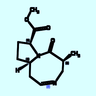 COC(=O)[C@@H]1CC[C@@H]2C/C=N\C[C@H](C)C(=O)N21